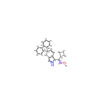 CO/N=C(/c1[nH]cc2c1C=CC(c1ccccc1)(c1ccccc1)C2)C1CCC1